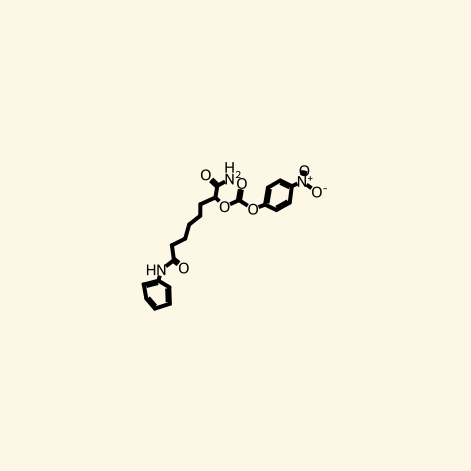 NC(=O)C(CCCCCC(=O)Nc1ccccc1)OC(=O)Oc1ccc([N+](=O)[O-])cc1